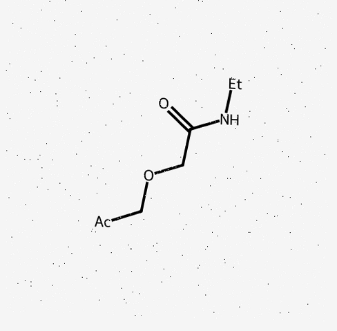 CCNC(=O)COCC(C)=O